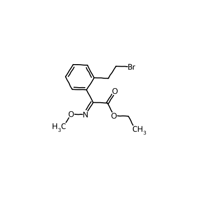 CCOC(=O)/C(=N/OC)c1ccccc1CCBr